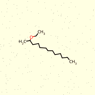 [CH2]C(CCCCCCCCCCC)OCC